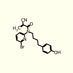 C=C(C#N)C(=O)N(CCCCc1ccc(O)cc1)c1cccc(Br)n1